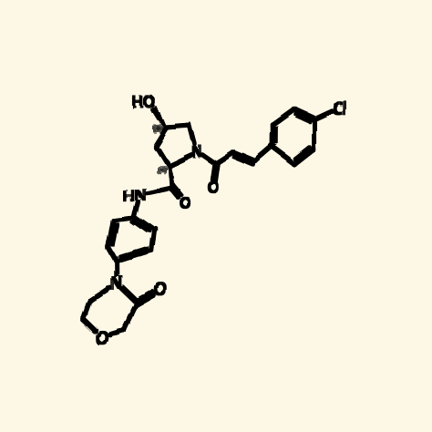 O=C(Nc1ccc(N2CCOCC2=O)cc1)[C@H]1C[C@@H](O)CN1C(=O)C=Cc1ccc(Cl)cc1